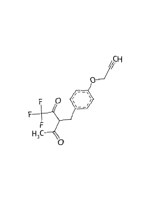 C#CCOc1ccc(CC(C(C)=O)C(=O)C(F)(F)F)cc1